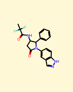 CC(F)(F)C(=O)NC1CC(=O)N(c2ccc3[nH]ncc3c2)C1c1ccccc1